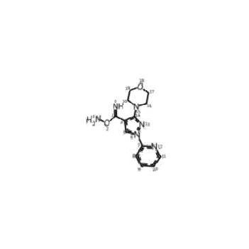 N=C(ON)c1cn(-c2ccccn2)nc1N1CCOCC1